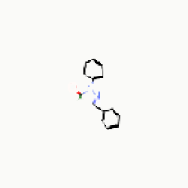 O=C(Cl)N(/N=C/c1ccccc1)c1ccccc1